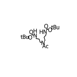 CC(=O)N(CCCNC(=O)OC(C)(C)C)CCCNC(=O)OC(C)(C)C